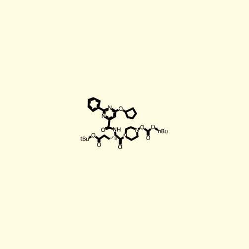 CCCCOC(=O)ON1CCN(C(=O)[C@H](CCC(=O)OC(C)(C)C)NC(=O)c2cc(OC3CCCC3)nc(-c3ccccc3)n2)CC1